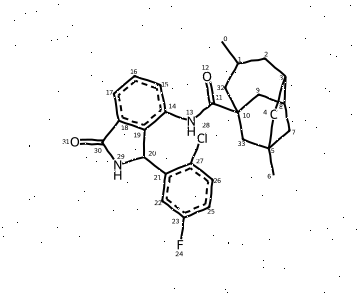 CC1CC2CC3(C)CC2CC(C(=O)Nc2cccc4c2C(c2cc(F)ccc2Cl)NC4=O)(C1)C3